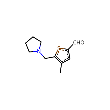 Cc1cc(C=O)sc1CN1CCCC1